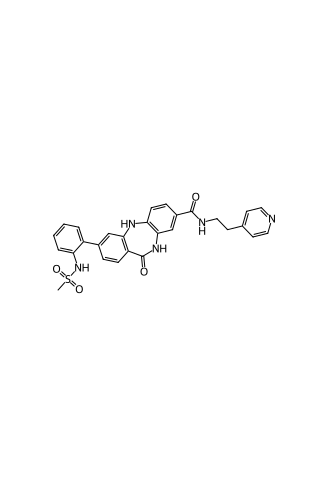 CS(=O)(=O)Nc1ccccc1-c1ccc2c(c1)Nc1ccc(C(=O)NCCc3ccncc3)cc1NC2=O